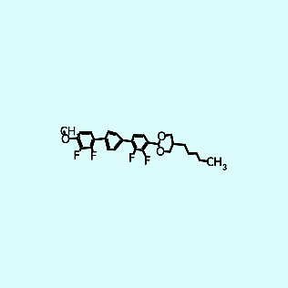 CCCCCC1COC(c2ccc(-c3ccc(-c4ccc(OC)c(F)c4F)cc3)c(F)c2F)OC1